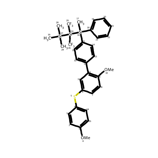 COc1ccc(Sc2ccc(OC)c(-c3ccc([Si](C)(c4ccccc4)[Si](C(F)(F)F)(C(F)(F)F)[Si](C)(C)C)cc3)c2)cc1